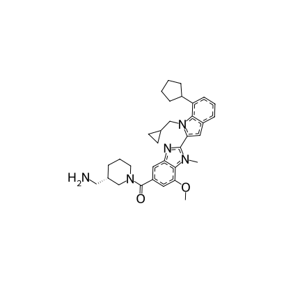 COc1cc(C(=O)N2CCC[C@@H](CN)C2)cc2nc(-c3cc4cccc(C5CCCC5)c4n3CC3CC3)n(C)c12